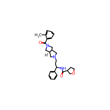 Cc1ccccc1C(=O)N1CC2CN(CCC(NC(=O)C3CCOC3)c3ccccc3)C[C@H]2C1